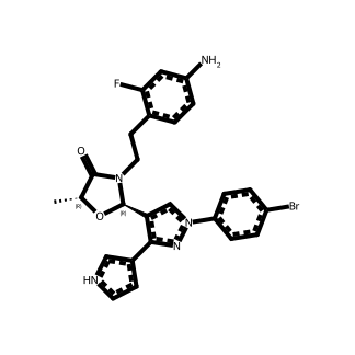 C[C@H]1O[C@H](c2cn(-c3ccc(Br)cc3)nc2-c2cc[nH]c2)N(CCc2ccc(N)cc2F)C1=O